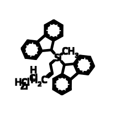 C=CC[Si](C)(C1c2ccccc2-c2ccccc21)C1c2ccccc2-c2ccccc21.Cl.Cl.[Zr]